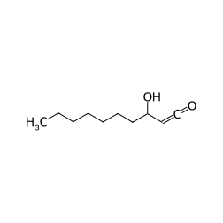 CCCCCCCC(O)C=C=O